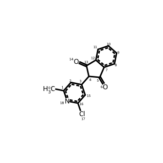 Cc1cc(C2C(=O)c3ccccc3C2=O)cc(Cl)n1